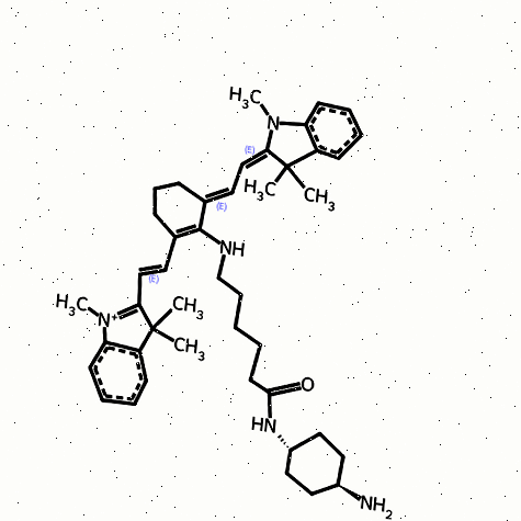 CN1/C(=C/C=C2\CCCC(/C=C/C3=[N+](C)c4ccccc4C3(C)C)=C2NCCCCCC(=O)N[C@H]2CC[C@H](N)CC2)C(C)(C)c2ccccc21